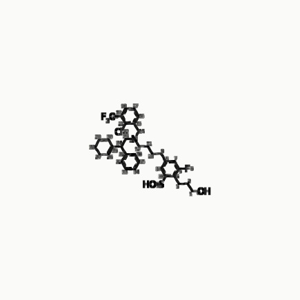 OCCCc1c(F)cc(CCCCN(Cc2cccc(C(F)(F)F)c2Cl)CC(C2=CCCC=C2)c2ccccc2)cc1SO